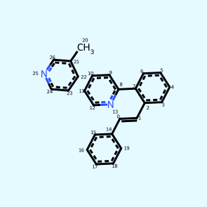 C(=C\c1ccccc1-c1ccccn1)/c1ccccc1.Cc1cccnc1